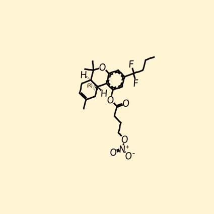 CCCC(F)(F)c1cc(OC(=O)CCCO[N+](=O)[O-])c2c(c1)OC(C)(C)[C@@H]1CC=C(C)C[C@@H]21